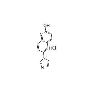 Cl.Oc1ccc2cc(-n3ccnc3)ccc2n1